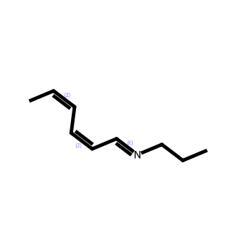 C\C=C/C=C\C=N\CCC